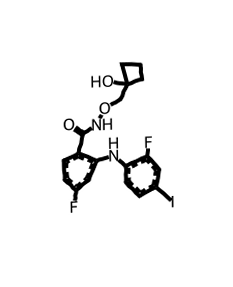 O=C(NOCC1(O)CCC1)c1ccc(F)cc1Nc1ccc(I)cc1F